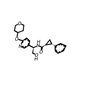 O=C(N[C@@H](CO)c1ccc(OC2CCOCC2)nc1)[C@H]1C[C@@H]1c1ccccc1